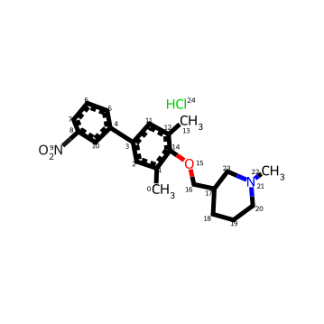 Cc1cc(-c2cccc([N+](=O)[O-])c2)cc(C)c1OCC1CCCN(C)C1.Cl